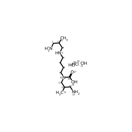 CC(CN)CNCCCCN(CC(C)CN)C(=O)O.Cl.Cl.Cl